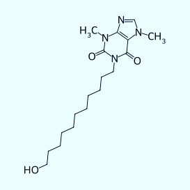 Cn1cnc2c1c(=O)n(CCCCCCCCCCCO)c(=O)n2C